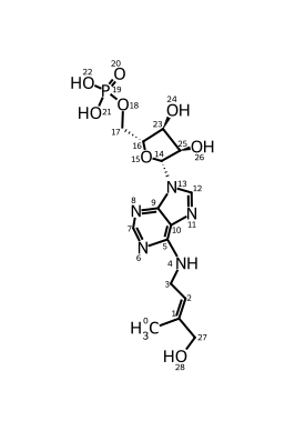 C/C(=C\CNc1ncnc2c1ncn2[C@@H]1O[C@H](COP(=O)(O)O)[C@@H](O)[C@H]1O)CO